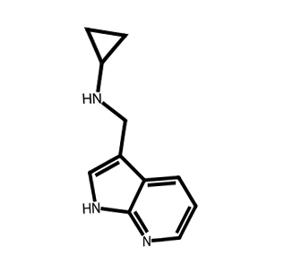 c1cnc2[nH]cc(CNC3CC3)c2c1